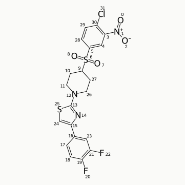 O=[N+]([O-])c1cc(S(=O)(=O)C2CCN(c3nc(-c4ccc(F)c(F)c4)cs3)CC2)ccc1Cl